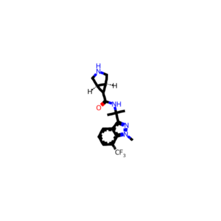 Cn1nc(C(C)(C)NC(=O)C2[C@H]3CNC[C@@H]23)c2cccc(C(F)(F)F)c21